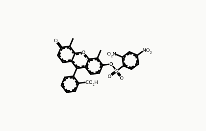 Cc1c2oc3c(C)c(OS(=O)(=O)c4ccc([N+](=O)[O-])cc4[N+](=O)[O-])ccc3c(-c3ccccc3C(=O)O)c-2ccc1=O